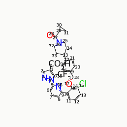 O=C(O)c1cnn(-c2cccc(-c3cccc(Cl)c3OCc3ccc(C4CCN(C(=O)C5CC5)CC4)cc3)n2)c1C(F)(F)F